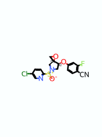 N#Cc1ccc(O[C@H]2CN([S+]([O-])c3ccc(Cl)cn3)C[C@]23CO3)cc1F